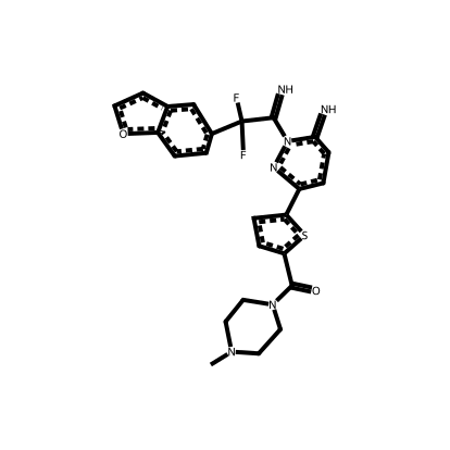 CN1CCN(C(=O)c2ccc(-c3ccc(=N)n(C(=N)C(F)(F)c4ccc5occc5c4)n3)s2)CC1